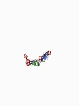 COCCCOc1cc(CCCCCC[C@@H](C)C(=O)NCC(C)(C)N2CCOCC2)ccc1OC.Cl.Cl